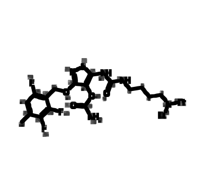 CCN(CC)CCCCNC(=O)Nc1snc(OCc2c(F)cc(C)c(F)c2F)c1OC(N)=O